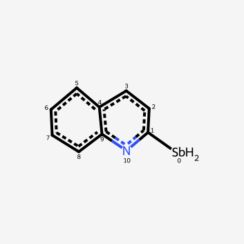 [SbH2][c]1ccc2ccccc2n1